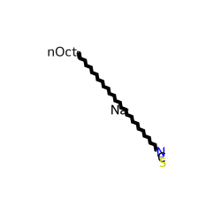 CCCCCCCCC=CCCCCCCCCCCCCCCCCCCCCCCCCCCN=C=S.[Na]